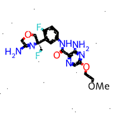 COCCOc1cnc(C(=O)Nc2ccc(F)c([C@]3(CF)COCC(N)=N3)c2)c(N)n1